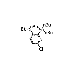 CCC[CH2][Sn]([CH2]CCC)([CH2]CCC)[c]1nc(Cl)ccc1SCC